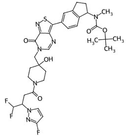 CN(C(=O)OC(C)(C)C)C1CCc2cc(-c3snc4c(=O)n(CC5(O)CCN(C(=O)CC(C(F)F)n6ccc(F)n6)CC5)cnc34)ccc21